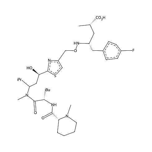 CCC(C)[C@H](NC(=O)[C@H]1CCCCN1C)C(=O)N(C)C(C[C@@H](O)c1nc(CON[C@@H](Cc2ccc(F)cc2)C[C@H](C)C(=O)O)cs1)C(C)C